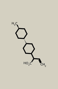 C=CC(C(=O)O)C1CCC([C@H]2CC[C@H](C)CC2)CC1